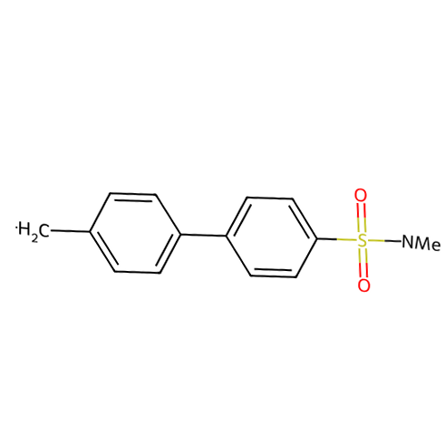 [CH2]c1ccc(-c2ccc(S(=O)(=O)NC)cc2)cc1